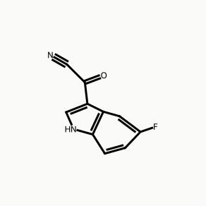 N#CC(=O)c1c[nH]c2ccc(F)cc12